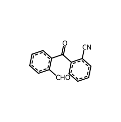 N#Cc1ccccc1C(=O)c1ccccc1C=O